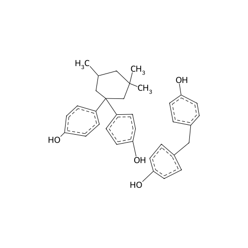 CC1CC(C)(C)CC(c2ccc(O)cc2)(c2ccc(O)cc2)C1.Oc1ccc(Cc2ccc(O)cc2)cc1